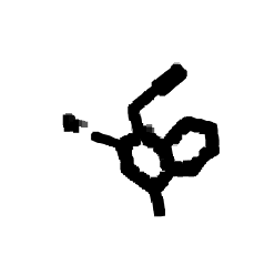 C#CC[n+]1c(C)cc(C)c2ccccc21.[Br-]